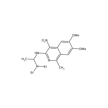 CCN(CC)C(C)Nc1nc(C)c2cc(OC)c(OC)cc2c1[N+](=O)[O-]